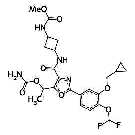 COC(=O)NC1CC(NC(=O)c2nc(-c3ccc(OC(F)F)c(OCC4CC4)c3)oc2C(C)OC(N)=O)C1